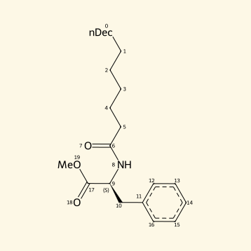 CCCCCCCCCCCCCCCC(=O)N[C@@H](Cc1ccccc1)C(=O)OC